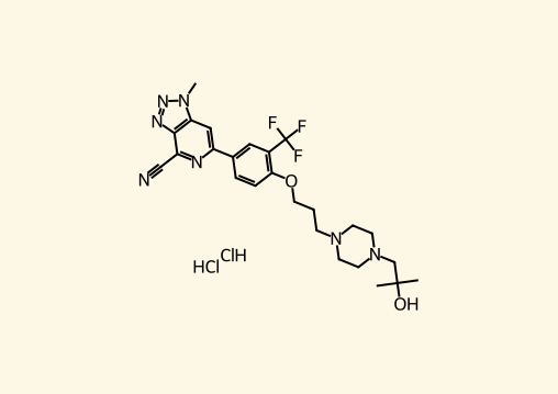 Cl.Cl.Cn1nnc2c(C#N)nc(-c3ccc(OCCCN4CCN(CC(C)(C)O)CC4)c(C(F)(F)F)c3)cc21